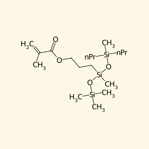 C=C(C)C(=O)OCCC[Si](C)(O[Si](C)(C)C)O[Si](C)(CCC)CCC